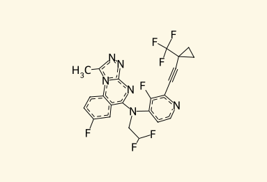 Cc1nnc2nc(N(CC(F)F)c3ccnc(C#CC4(C(F)(F)F)CC4)c3F)c3cc(F)ccc3n12